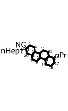 CCCCCCC[C@]1(C#N)CCC2C(CCC3C2CCC2C3CCC[C@@H]2CCC)C1